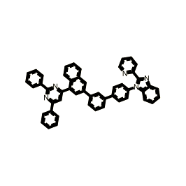 c1ccc(-c2cc(-c3cc(-c4cccc(-c5ccc(-n6c(-c7ccccn7)nc7ccccc76)cc5)c4)cc4ccccc34)nc(-c3ccccc3)n2)cc1